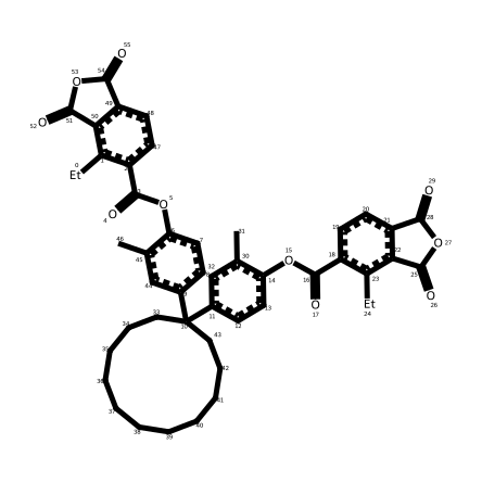 CCc1c(C(=O)Oc2ccc(C3(c4ccc(OC(=O)c5ccc6c(c5CC)C(=O)OC6=O)c(C)c4)CCCCCCCCCCC3)cc2C)ccc2c1C(=O)OC2=O